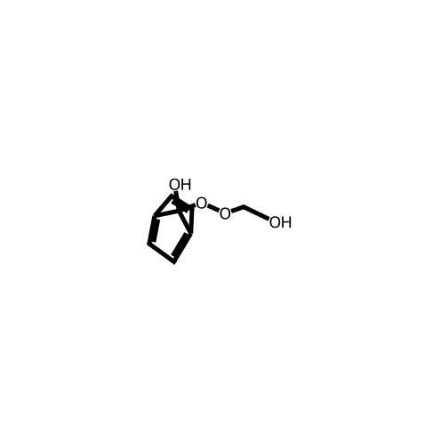 OCOOC1(O)C2=CC=C1C=C2